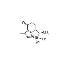 CC(C)[Si]1(C(C)C)C(C)C2CCC(=O)c3c(I)cn1c32